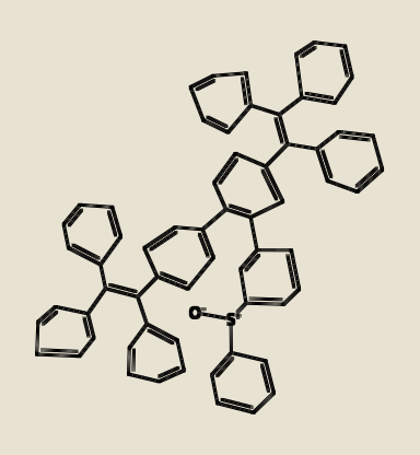 [O-][S+](c1ccccc1)c1cccc(-c2cc(C(=C(c3ccccc3)c3ccccc3)c3ccccc3)ccc2-c2ccc(C(=C(c3ccccc3)c3ccccc3)c3ccccc3)cc2)c1